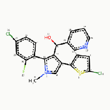 Cn1cc(-c2ccc(Cl)s2)c(C(O)c2cccnc2)c1-c1ccc(Cl)cc1F